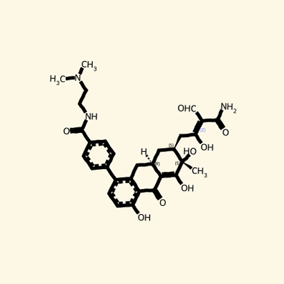 CN(C)CCNC(=O)c1ccc(-c2ccc(O)c3c2C[C@H]2C[C@@H](C/C(O)=C(\C=O)C(N)=O)[C@](C)(O)C(O)=C2C3=O)cc1